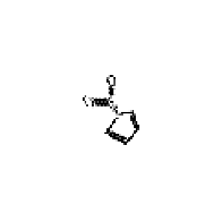 O=S(=O)=S1[C]=CC=C1